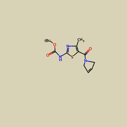 Cc1nc(NC(=O)OC(C)(C)C)sc1C(=O)N1CC=CC1